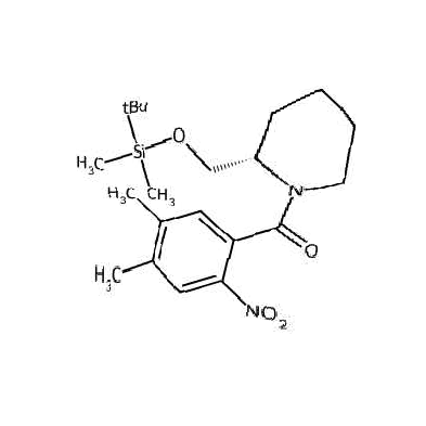 Cc1cc(C(=O)N2CCCC[C@H]2CO[Si](C)(C)C(C)(C)C)c([N+](=O)[O-])cc1C